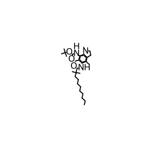 CCCCCCCCCC(C)(C)C(=O)Nc1c(C)c2c(c(NC(=O)OC(C)(C)C)c1C)N(C)CC2